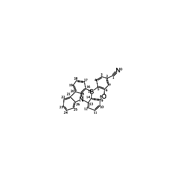 N#Cc1ccc2c(c1)Oc1cccc3c1B2c1cccc2c4ccccc4n-3c12